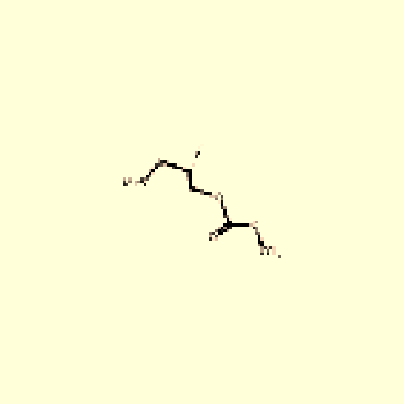 CSS[C@H](C)COC(=O)OC(Cl)(Cl)Cl